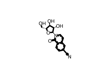 N#Cc1ccc2c(=O)n([C@@H]3O[C@H](CO)[C@@H](O)[C@@H]3O)ccc2c1